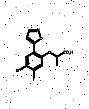 CC(Oc1cc(F)c(Br)cc1-c1ccno1)C(=O)O